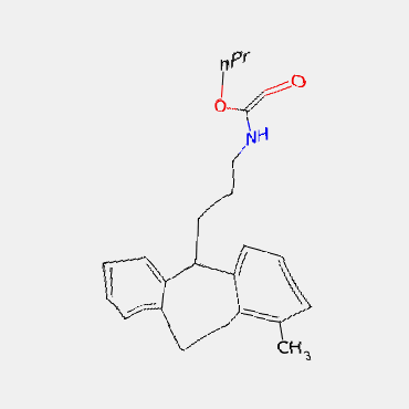 CCCOC(=O)NCCCC1c2ccccc2CCc2c(C)cccc21